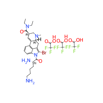 CCN(CC)C(=O)[C@@H]1C=C2c3cccc4c3c(c(Br)n4C(=O)[C@@H](N)CCCCN)C[C@H]2N(C)C1.O=C(O)C(F)(F)F.O=C(O)C(F)(F)F.O=C(O)C(F)(F)F